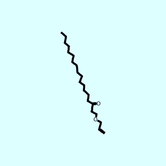 C=CCOCCC(=O)CCCCCCCCCCCCCCC